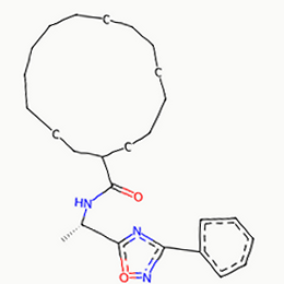 C[C@H](NC(=O)C1CCCCCCCCCCCCCC1)c1nc(-c2ccccc2)no1